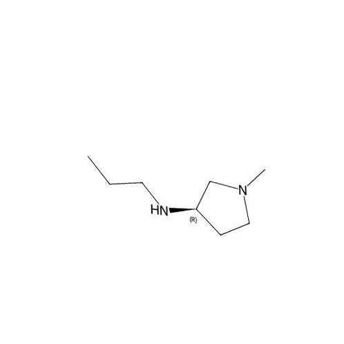 CCCN[C@@H]1CCN(C)C1